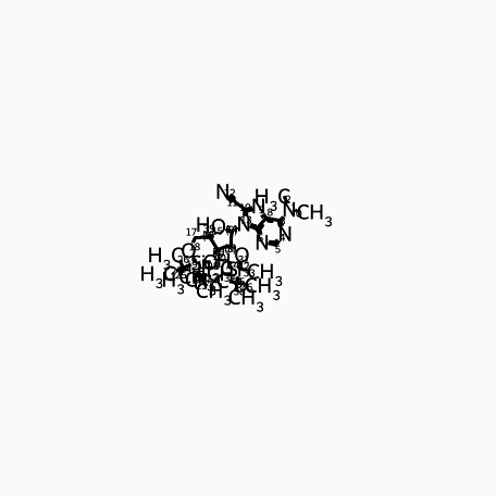 CN(C)c1ncnc2c1nc(C#N)n2[C@@H]1O[C@@H]2CO[Si](C(C)(C)C)(C(C)(C)C)O[C@H]2[C@@H]1O[Si](C)(C)C(C)(C)C